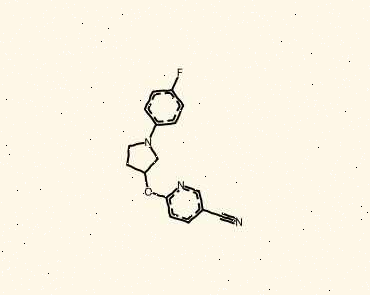 N#Cc1ccc(OC2CCN(c3ccc(F)cc3)C2)nc1